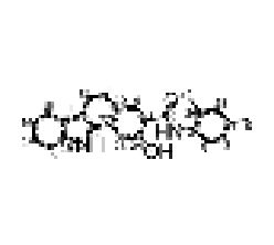 Cc1ccc(NC(=O)c2cc3ccc4c5ccccc5[nH]c4c3cc2O)c(C)c1